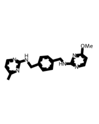 COc1ccnc(NCc2ccc(CNc3nccc(C)n3)cc2)n1